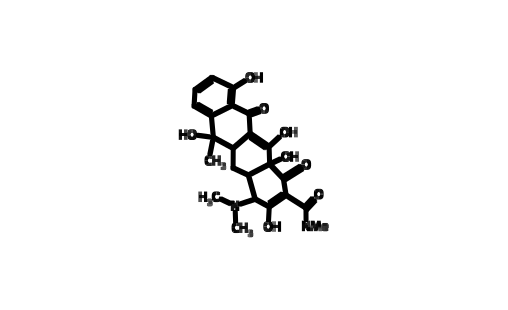 CNC(=O)C1=C(O)C(N(C)C)C2CC3C(=C(O)C2(O)C1=O)C(=O)c1c(O)cccc1C3(C)O